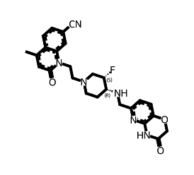 Cc1cc(=O)n(CCN2CC[C@@H](NCc3ccc4c(n3)NC(=O)CO4)[C@@H](F)C2)c2cc(C#N)ccc12